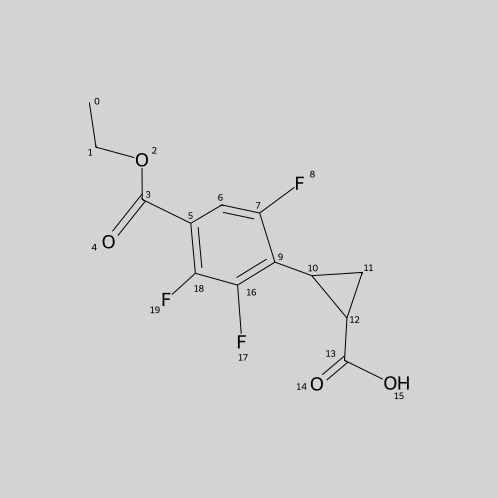 CCOC(=O)c1cc(F)c(C2CC2C(=O)O)c(F)c1F